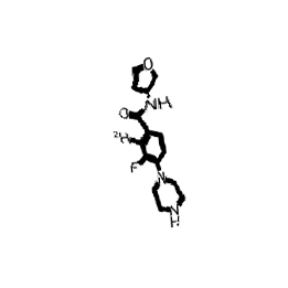 [2H]c1c(C(=O)N[C@@H]2CCOC2)ccc(N2CCNCC2)c1F